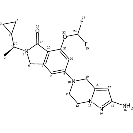 C[C@@H](C1CC1)N1Cc2cc(N3CCn4nc(N)cc4C3)cc(OC(F)F)c2C1=O